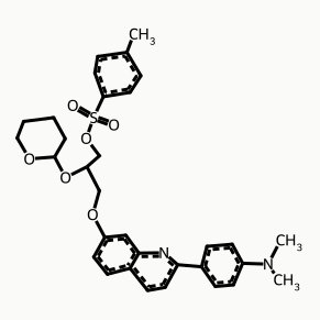 Cc1ccc(S(=O)(=O)OCC(COc2ccc3ccc(-c4ccc(N(C)C)cc4)nc3c2)OC2CCCCO2)cc1